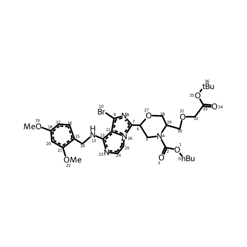 CCCCOC(=O)N1CC(c2nc(Br)c3c(NCc4ccc(OC)cc4OC)nccn23)OCC1COCC(=O)OC(C)(C)C